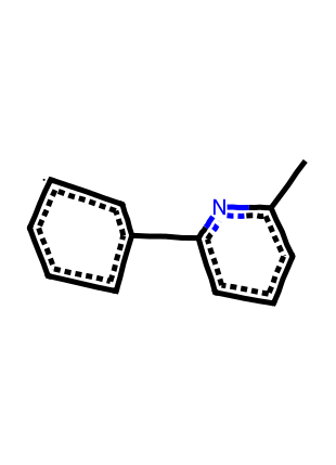 Cc1cccc(-c2c[c]ccc2)n1